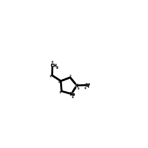 CCC1[CH2][Re][N]([Rf])C1